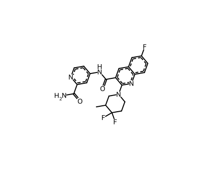 CC1CN(c2nc3ccc(F)cc3cc2C(=O)Nc2ccnc(C(N)=O)c2)CCC1(F)F